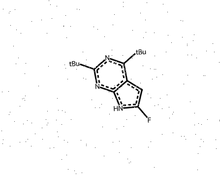 CC(C)(C)c1nc(C(C)(C)C)c2cc(F)[nH]c2n1